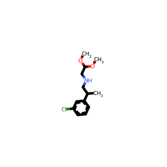 COC(CNCC(C)c1cccc(Cl)c1)OC